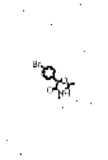 CNC(=O)C(OC(C)=O)c1ccc(Br)cc1